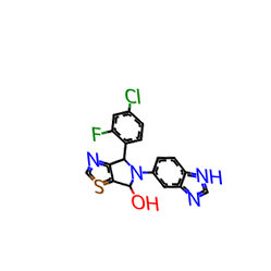 OC1c2scnc2C(c2ccc(Cl)cc2F)N1c1ccc2[nH]cnc2c1